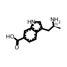 C[C@H](N)Cc1c[nH]c2cc(C(=O)O)ccc12